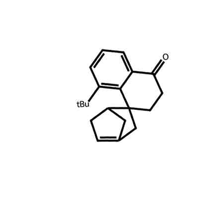 CC(C)(C)c1cccc2c1C1(CCC2=O)CC2=CCC1C2